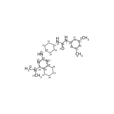 Cc1cc(C)cc(NC(=O)N[C@H]2CC[C@@H](Nc3nc4c(c(N(C)C)n3)CCCC4)CC2)c1